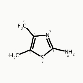 [CH2]c1sc(N)nc1C(F)(F)F